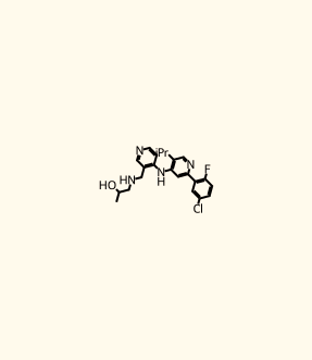 CC(O)CNCc1cnccc1Nc1cc(-c2cc(Cl)ccc2F)ncc1C(C)C